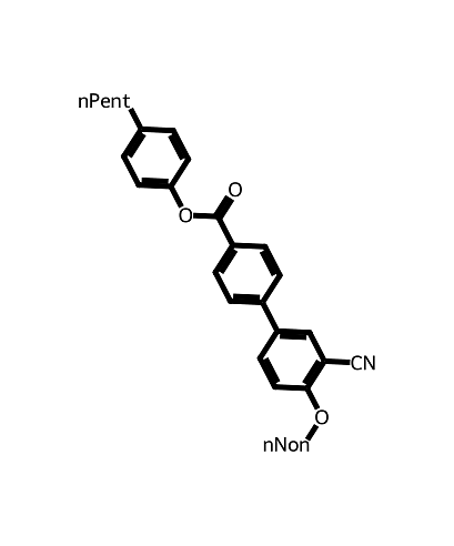 CCCCCCCCCOc1ccc(-c2ccc(C(=O)Oc3ccc(CCCCC)cc3)cc2)cc1C#N